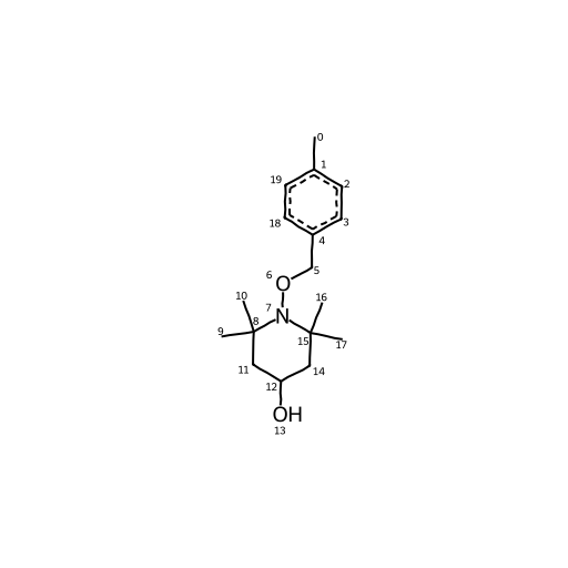 Cc1ccc(CON2C(C)(C)CC(O)CC2(C)C)cc1